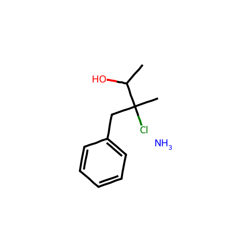 CC(O)C(C)(Cl)Cc1ccccc1.N